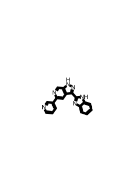 c1cncc(-c2cc3c(-c4nc5ccccc5[nH]4)n[nH]c3cn2)c1